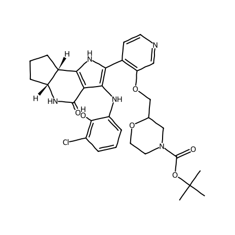 CC(C)(C)OC(=O)N1CCOC(COc2cnccc2-c2[nH]c3c(c2Nc2cccc(Cl)c2O)C(=O)N[C@@H]2CCC[C@H]32)C1